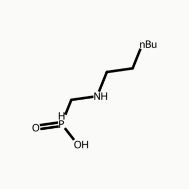 CCCCCCNC[PH](=O)O